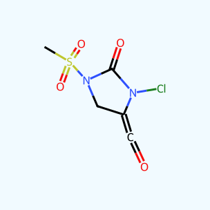 CS(=O)(=O)N1CC(=C=O)N(Cl)C1=O